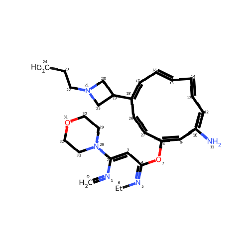 C=N/C(=C\C(=N/CC)OC1=C/C(N)=C\C=C\C=C\C=C(C2CN(CCC(=O)O)C2)/C=C\1)N1CCOCC1